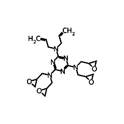 C=CCN(CC=C)c1nc(N(CC2CO2)CC2CO2)nc(N(CC2CO2)CC2CO2)n1